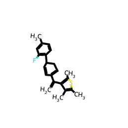 C=C(C1=CCC(c2ccc(C)cc2F)C=C1)c1c(C)sc(C)c1C